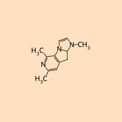 Cc1cc2c(c(C)n1)N1C=CN(C)C1C2